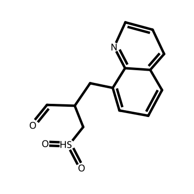 O=CC(Cc1cccc2cccnc12)C[SH](=O)=O